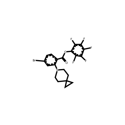 O=C(Oc1c(F)c(F)c(F)c(F)c1F)c1ccc(Br)cc1N1CCC2(CC1)CC2